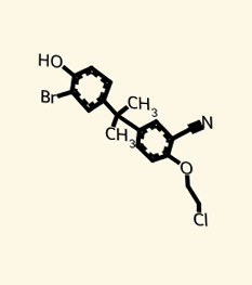 CC(C)(c1ccc(O)c(Br)c1)c1ccc(OCCCl)c(C#N)c1